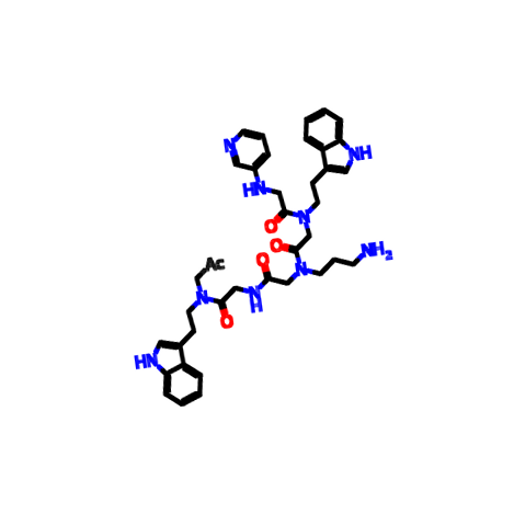 CC(=O)CN(CCc1c[nH]c2ccccc12)C(=O)CNC(=O)CN(CCCN)C(=O)CN(CCc1c[nH]c2ccccc12)C(=O)CNc1cccnc1